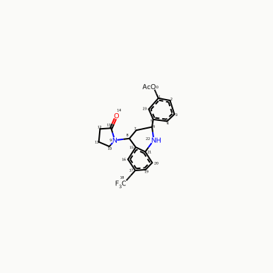 CC(=O)Oc1cccc(C2CC(N3CCCC3=O)c3cc(C(F)(F)F)ccc3N2)c1